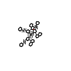 O=P(Oc1ccc(/N=N/c2ccccc2)cc1-c1cccc2ccccc12)(Oc1ccc(/N=N/c2ccccc2)cc1-c1cccc2ccccc12)Oc1ccc(/N=N/c2ccccc2)cc1-c1cccc2ccccc12